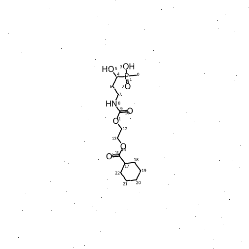 CP(=O)(O)C(O)CCNC(=O)OCCOC(=O)C1CCCCC1